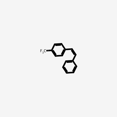 FC(F)(F)c1ccc(/C=C\c2cc[c]cc2)cc1